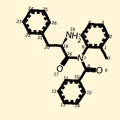 Cc1ccccc1N(C(=O)c1ccccc1)C(=O)[C@H](N)Cc1ccccc1